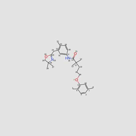 Cc1ccc(C)c(OCCCC(C)(C)C(=O)Nc2ccc(C)c(CC3=NC(C)(C)CO3)c2)c1